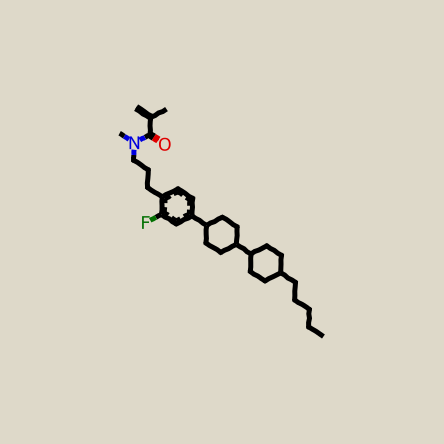 C=C(C)C(=O)N(C)CCCc1ccc(C2CCC(C3CCC(CCCCC)CC3)CC2)cc1F